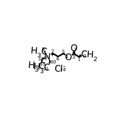 C=CC(=O)OCCC[N+](C)(CC)CC.[Cl-]